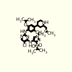 COCC1CC(c2cc(OC(C)C)c(Nc3ncc(Cl)c(Nc4cn(C)nc4S(=O)(=O)C(C)C)n3)cc2C)CCN1